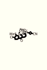 CSc1c(Cl)ccc2c(=O)c3ccc(NC4CC(C#N)C4)nc3n(CC(=O)[O-])c12.[Na+]